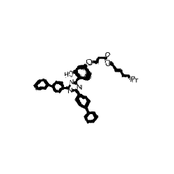 CC(C)CCCCCOC(=O)CCOc1ccc(-c2nc(-c3ccc(-c4ccccc4)cc3)nc(-c3ccc(-c4ccccc4)cc3)n2)c(O)c1